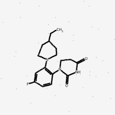 CCC1CCN(c2cc(F)ccc2N2CCC(=O)NC2=O)CC1